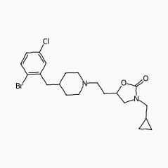 O=C1OC(CCN2CCC(Cc3cc(Cl)ccc3Br)CC2)CN1CC1CC1